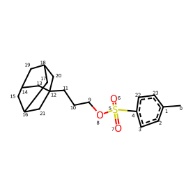 Cc1ccc(S(=O)(=O)OCCCC23CC4CC(CC(C4)C2)C3)cc1